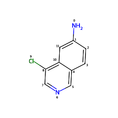 Nc1ccc2cncc(Cl)c2c1